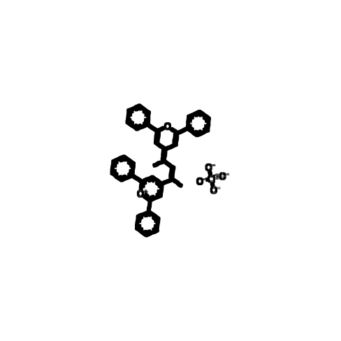 CC(/C=C(/C)c1cc(-c2ccccc2)[o+]c(-c2ccccc2)c1)=C1C=C(c2ccccc2)OC(c2ccccc2)=C1.[O-][Cl+3]([O-])([O-])[O-]